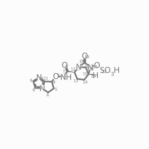 O=C(NOC1CCn2ccnc21)[C@@H]1CC[C@@H]2CN1C(=O)N2OS(=O)(=O)O